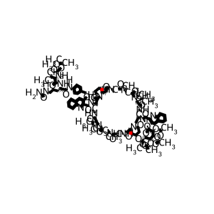 COC(=O)[C@H]1O[C@@H](Oc2cc3ccccc3nc2C(=O)N[C@@H]2CNC(=O)[C@H](C(C)C)N(C)C(=O)CN(C)C(=O)CNC(=O)[C@@H]3CCCCN3C(=O)[C@H](NC(=O)c3nc4ccccc4cc3OCc3ccc(NC(=O)[C@H](CCCNC(N)=O)NC(=O)[C@@H](NC(=O)OC(C)(C)C)C(C)C)cc3)CNC(=O)[C@H](C(C)C)N(C)C(=O)CN(C)C(=O)CNC(=O)[C@@H]3CCCCN3C2=O)[C@H](OC(C)=O)[C@@H](OC(C)=O)[C@@H]1OC(C)=O